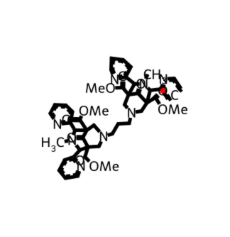 COC(=O)C12CN(CCCN3CC4(C(=O)OC)C(=O)C(C(=O)OC)(C3)C(c3ccccn3)N(C)C4c3ccccn3)CC(C(=O)OC)(C1=O)C(c1ccccn1)N(C)C2c1ccccn1